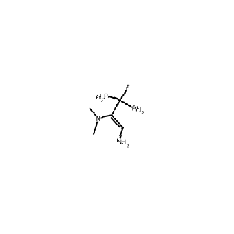 CN(C)/C(=C\N)C(F)(P)P